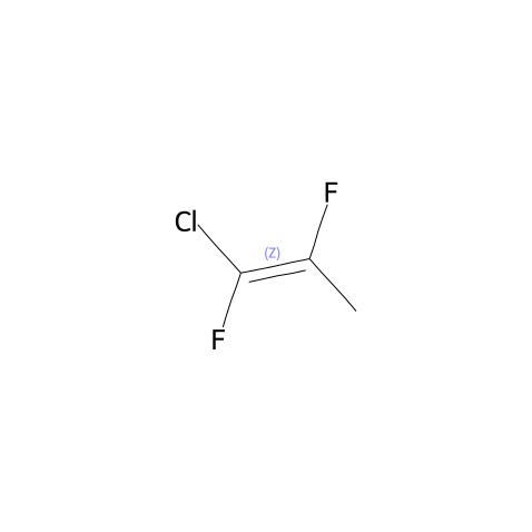 C/C(F)=C(\F)Cl